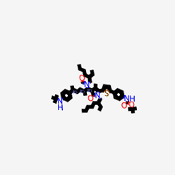 CCCCCC(CC)CN1C(=O)\C(=C(/C(C)=C/C=C(\C)c2ccc(NC(C)(C)C)cc2)N(C=O)CC(CC)CCCC)C(C)=C1c1ccc(-c2ccc(NC(=O)OC(C)(C)C)cc2)s1